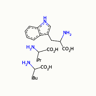 CC(C)C(N)C(=O)O.CCC(C)C(N)C(=O)O.NC(Cc1c[nH]c2ccccc12)C(=O)O